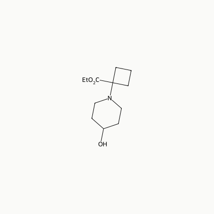 CCOC(=O)C1(N2CCC(O)CC2)CCC1